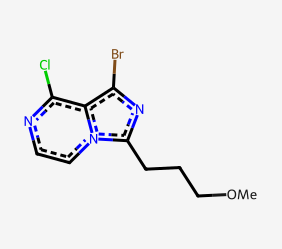 COCCCc1nc(Br)c2c(Cl)nccn12